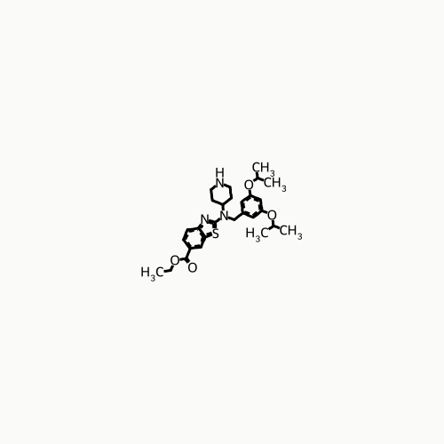 CCOC(=O)c1ccc2nc(N(Cc3cc(OC(C)C)cc(OC(C)C)c3)C3CCNCC3)sc2c1